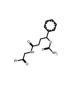 CC(C)C(=O)CNC(=O)CCC(OC(N)=O)c1ccccc1